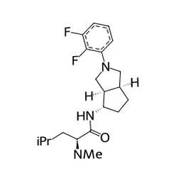 CN[C@@H](CC(C)C)C(=O)N[C@H]1CC[C@@H]2CN(c3cccc(F)c3F)C[C@@H]21